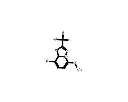 COC1=CC=C(Br)C2NC(C(F)(F)F)=NN12